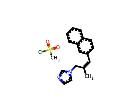 CC(=Cc1ccc2ccccc2c1)Cn1ccnc1.CS(=O)(=O)Cl